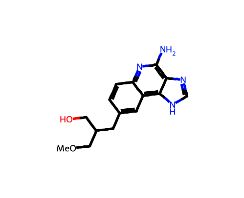 COCC(CO)Cc1ccc2nc(N)c3nc[nH]c3c2c1